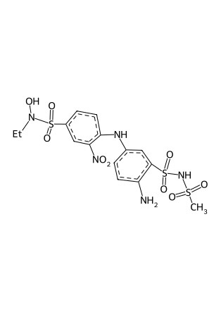 CCN(O)S(=O)(=O)c1ccc(Nc2ccc(N)c(S(=O)(=O)NS(C)(=O)=O)c2)c([N+](=O)[O-])c1